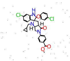 COC(=O)c1ccc(N2C[C@@H]3[C@H](C2=O)[C@@H](c2cccc(Cl)c2)[C@@]2(C(=O)Nc4cc(Cl)ccc42)N3CC2CC2)cc1